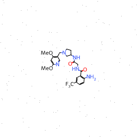 COc1cc(OC)c(CN2CCC(NC(=O)CNC(=O)c3cc(C(F)(F)F)ccc3N)C2)cn1